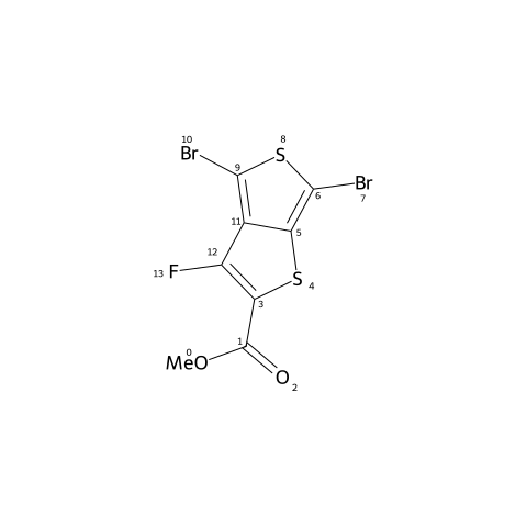 COC(=O)c1sc2c(Br)sc(Br)c2c1F